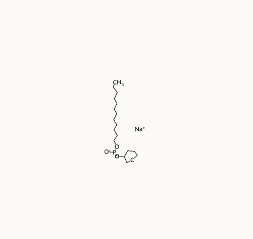 CCCCCCCCCCCCOP([O-])OC1CCCCC1.[Na+]